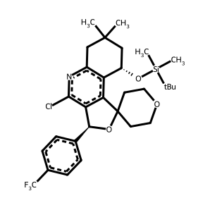 CC1(C)Cc2nc(Cl)c3c(c2[C@@H](O[Si](C)(C)C(C)(C)C)C1)C1(CCOCC1)O[C@H]3c1ccc(C(F)(F)F)cc1